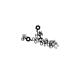 CC[C@H]1O[C@@H](n2cc(-c3cn(Cc4ccccc4)nn3)c(NC(=O)OCc3ccc([N+](=O)[O-])cc3)nc2=O)C(F)(F)C1O[Si](C)(C)C